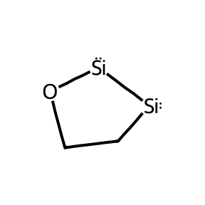 C1C[Si][Si]O1